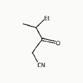 CCC(C)C(=O)CC#N